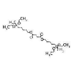 CCO[Si](C)(CCCCCOC(=O)CCC(=O)OCCCCC[Si](C)(OCC)OCC)OCC